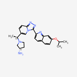 CC(C)Oc1ccc2ccc(-c3nnc4ccc([C@H](C)N5CC[C@H](N)C5)cn34)nc2c1